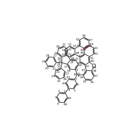 c1ccc(-c2ccc(N(c3ccc4c(c3)C(c3ccccc3)(c3ccccc3)c3ccccc3-4)c3cccc4oc5c6ccccc6c(-c6ccccc6-c6ccccc6)cc5c34)cc2)cc1